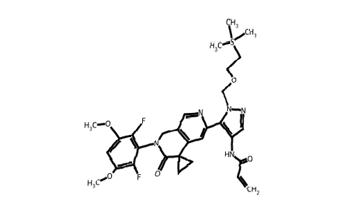 C=CC(=O)Nc1cnn(COCCS(C)(C)C)c1-c1cc2c(cn1)CN(c1c(F)c(OC)cc(OC)c1F)C(=O)C21CC1